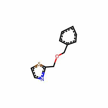 c1ccc(COCc2nccs2)cc1